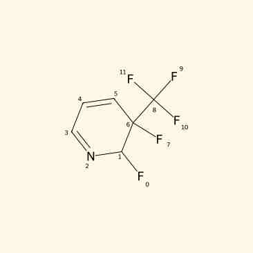 FC1N=CC=CC1(F)C(F)(F)F